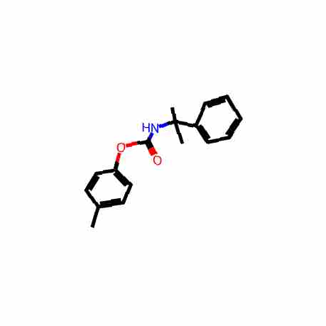 Cc1ccc(OC(=O)NC(C)(C)c2ccccc2)cc1